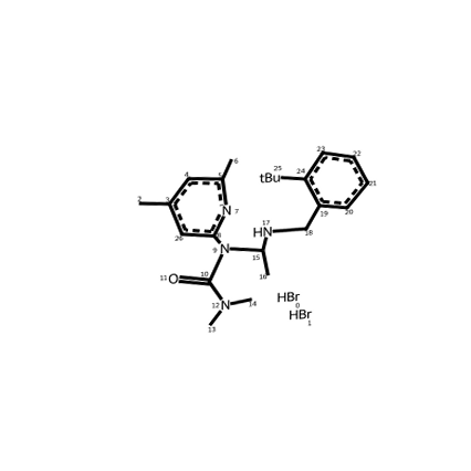 Br.Br.Cc1cc(C)nc(N(C(=O)N(C)C)C(C)NCc2ccccc2C(C)(C)C)c1